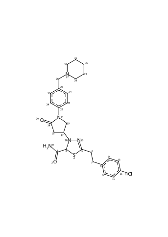 NC(=O)C1SC(CCc2ccc(Cl)cc2)=NN1C1CC(=O)N(c2ccc(CN3CCCCC3)cc2)C1